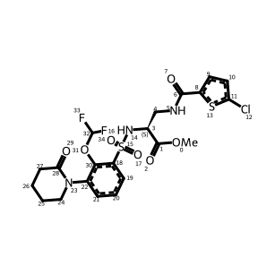 COC(=O)[C@H](CNC(=O)c1ccc(Cl)s1)NS(=O)(=O)c1cccc(N2CCCCC2=O)c1OC(F)F